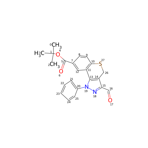 CC(C)(C)OC(=O)c1ccc2c(c1)-c1c(c([C]=O)nn1-c1ccccc1)CS2